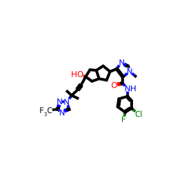 Cn1cnc(C2CC3CC(O)(C#CC(C)(C)n4cnc(C(F)(F)F)n4)CC3C2)c1C(=O)Nc1ccc(F)c(Cl)c1